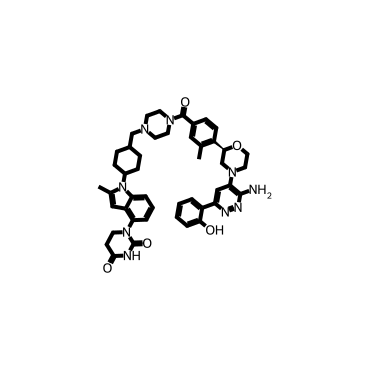 Cc1cc(C(=O)N2CCN(CC3CCC(n4c(C)cc5c(N6CCC(=O)NC6=O)cccc54)CC3)CC2)ccc1[C@@H]1CN(c2cc(-c3ccccc3O)nnc2N)CCO1